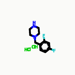 Cl.Cl.Fc1ccc(CN2CCNCC2)c(F)c1